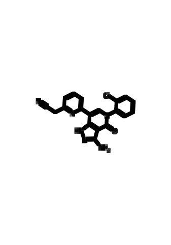 N#CCc1cccc(-c2cn(-c3ccccc3Cl)c(=O)c3c(N)n[nH]c23)n1